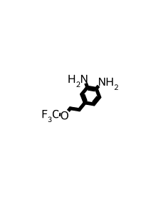 Nc1ccc(CCOC(F)(F)F)cc1N